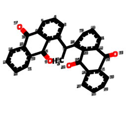 CC(c1cccc2c1C(=O)c1ccccc1C2=O)c1cccc2c1C(=O)c1ccccc1C2=O